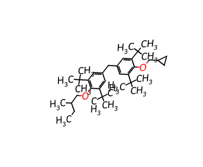 CCC(C)COc1c(C(C)(C)C)cc(Cc2cc(C(C)(C)C)c(OCC3CC3)c(C(C)(C)C)c2)cc1C(C)(C)C